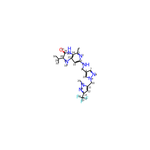 Cc1nc(NCc2cnn(Cc3cc(C(F)(F)F)nn3C)c2)cc2c1NC(=O)C(C(C)C)N2C